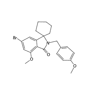 COc1ccc(CN2C(=O)c3c(OC)cc(Br)cc3C23CCCCC3)cc1